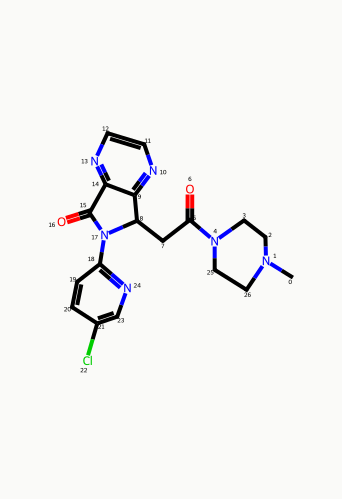 CN1CCN(C(=O)CC2c3nccnc3C(=O)N2c2ccc(Cl)cn2)CC1